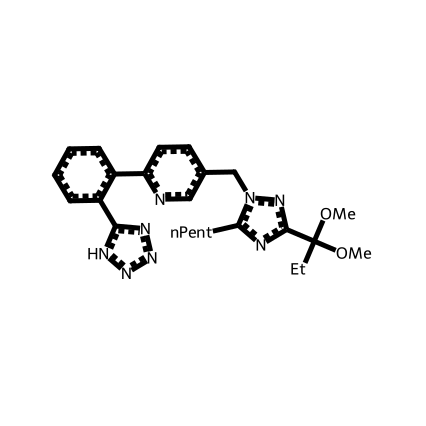 CCCCCc1nc(C(CC)(OC)OC)nn1Cc1ccc(-c2ccccc2-c2nnn[nH]2)nc1